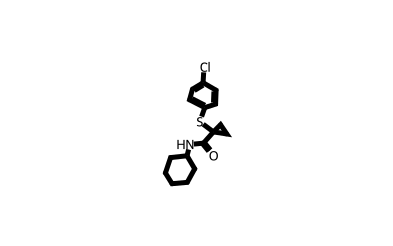 O=C(NC1CCCCC1)C1(Sc2ccc(Cl)cc2)CC1